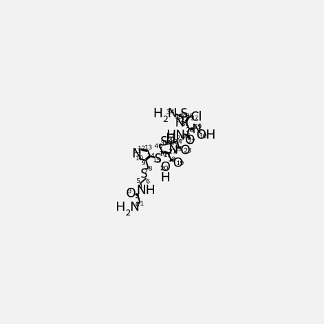 NCC(=O)NCCSCc1cnccc1SC1=C(C(=O)O)N2C(=O)[C@@H](NC(=O)/C(=N\O)c3nc(N)sc3Cl)[C@@H]2SC1